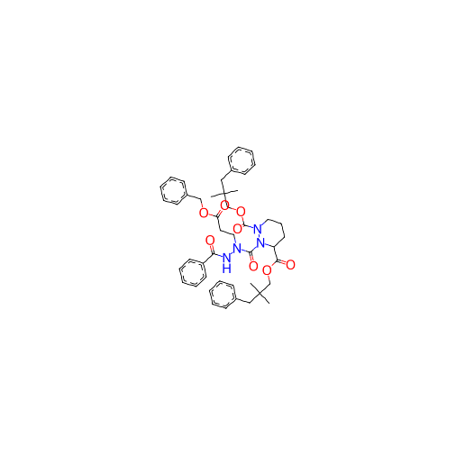 CC(C)(COC(=O)C1CCCN(C(=O)OCC(C)(C)Cc2ccccc2)N1C(=O)N(CCC(=O)OCc1ccccc1)NC(=O)c1ccccc1)Cc1ccccc1